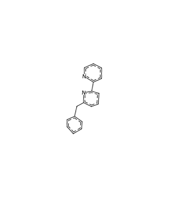 c1ccc(Cc2cccc(-c3ccccn3)n2)cc1